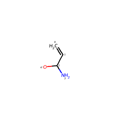 C=CC(N)[O]